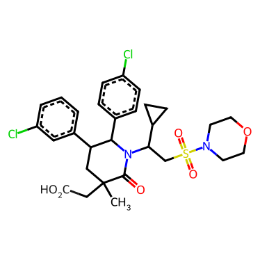 CC1(CC(=O)O)CC(c2cccc(Cl)c2)C(c2ccc(Cl)cc2)N(C(CS(=O)(=O)N2CCOCC2)C2CC2)C1=O